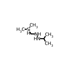 CC(C)NNC[SiH](C)C